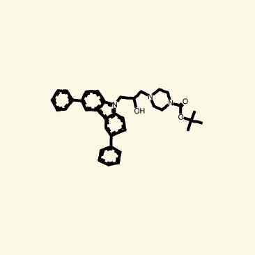 CC(C)(C)OC(=O)N1CCN(CC(O)Cn2c3ccc(-c4ccccc4)cc3c3cc(-c4ccccc4)ccc32)CC1